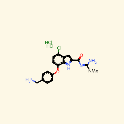 CNC(N)=NC(=O)c1cc2c(Cl)ccc(Oc3ccc(CN)cc3)c2[nH]1.Cl.Cl